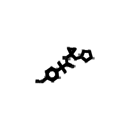 COc1ccc(C(C)(C)C(=O)NC2(CN3CCCC3)CC2)cc1